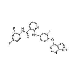 O=C(Nc1ccc(F)cc1F)c1cccnc1Nc1ccc(Oc2ccnc3[nH]ccc23)c(F)c1